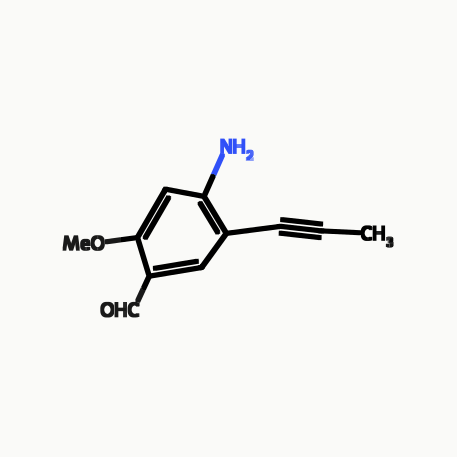 CC#Cc1cc(C=O)c(OC)cc1N